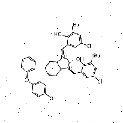 CC(C)(C)c1cc(Cl)cc(C=[N+]2[Cr][N+](=Cc3cc(Cl)cc(C(C)(C)C)c3O)C3CCCCC32)c1O.[O-]c1ccc(Oc2ccccc2)cc1